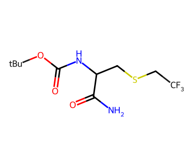 CC(C)(C)OC(=O)NC(CSCC(F)(F)F)C(N)=O